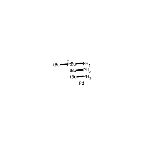 CC(C)(C)P.CC(C)(C)P.CC(C)(C)P.CC(C)(C)P.[Pd]